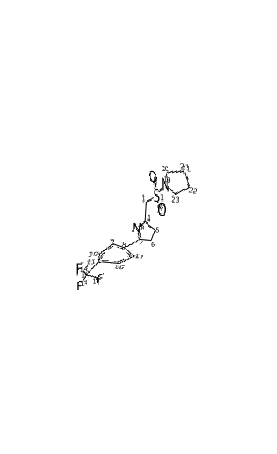 O=S(=O)(CC1CCC(c2ccc(C(F)(F)F)cc2)=N1)N1CCCC1